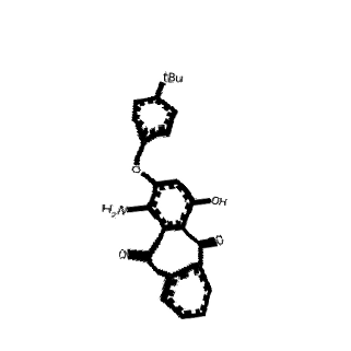 CC(C)(C)c1ccc(Oc2cc(O)c3c(c2N)C(=O)c2ccccc2C3=O)cc1